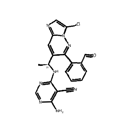 C[C@H](Nc1ncnc(N)c1C#N)c1cc2ncc(Cl)n2nc1-c1ccccc1C=O